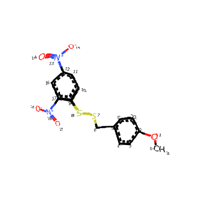 COc1ccc(CSSc2ccc([N+](=O)[O-])cc2[N+](=O)[O-])cc1